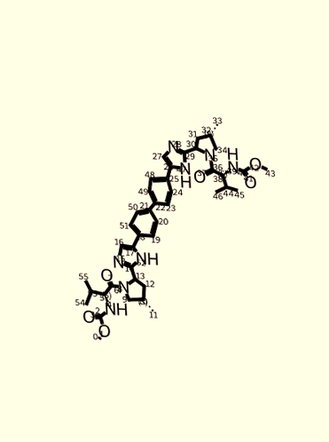 COC(=O)N[C@H](C(=O)N1C[C@@H](C)CC1c1ncc(-c2ccc(-c3ccc(-c4cnc(C5C[C@H](C)CN5C(=O)[C@@H](NC(=O)OC)C(C)C)[nH]4)cc3)cc2)[nH]1)C(C)C